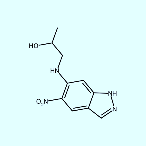 CC(O)CNc1cc2[nH]ncc2cc1[N+](=O)[O-]